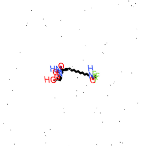 O=C(NCCCCCCCCCCC#Cc1cn([C@H]2CC[C@@H](CO)O2)c(=O)[nH]c1=O)C(F)(F)F